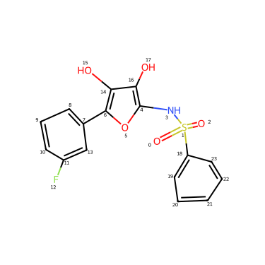 O=S(=O)(Nc1oc(-c2cccc(F)c2)c(O)c1O)c1ccccc1